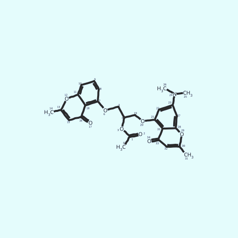 CC(=O)OC(COc1cccc2oc(C)cc(=O)c12)COc1cc(N(C)C)cc2oc(C)cc(=O)c12